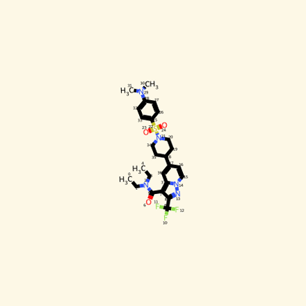 CCN(CC)C(=O)c1c(C(F)(F)F)nn2ccc(C3CCN(S(=O)(=O)c4ccc(N(C)C)cc4)CC3)cc12